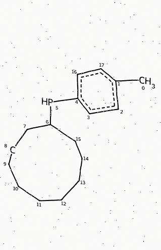 Cc1ccc(PC2CCCCCCCCC2)cc1